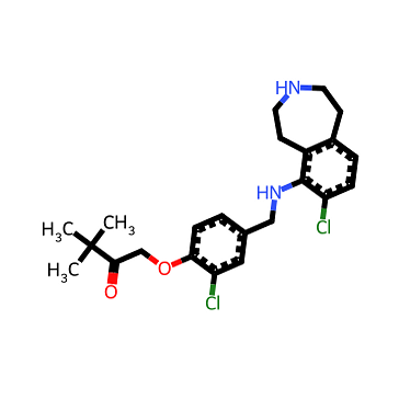 CC(C)(C)C(=O)COc1ccc(CNc2c(Cl)ccc3c2CCNCC3)cc1Cl